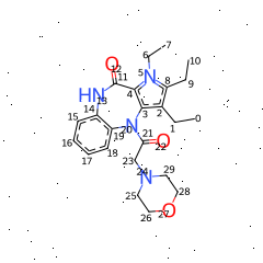 CCc1c2c(n(CC)c1CC)C(=O)Nc1ccccc1N2C(=O)CN1CCOCC1